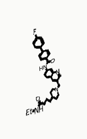 CCNC(=O)CCCC1CCN(Cc2cnc3cc(NC(=O)c4ccc(-c5ccc(F)cc5)cc4)ccc3c2)CC1